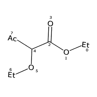 CCOC(=O)C(OCC)C(C)=O